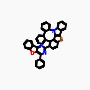 c1ccc(-c2nc(-c3ccc4sc5c6ccccc6n6c7ccccc7c7ccccc7c3c4c56)nc3c2oc2ccccc23)cc1